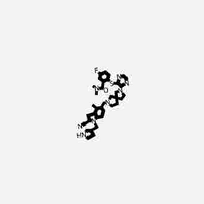 Cc1c(CN2CCC3(CCN(c4nccnc4Sc4ccc(F)cc4C(=O)N(C)C)C3)C2)ccc2c1cc(C#N)n2Cc1cc[nH]c1